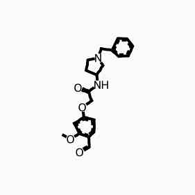 COc1cc(OCC(=O)NC2CCN(Cc3ccccc3)C2)ccc1C=O